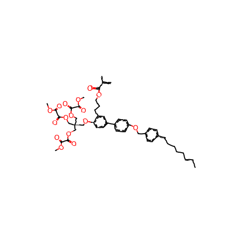 C=C(C)C(=O)OCCCc1cc(-c2ccc(OCc3ccc(CCCCCCCC)cc3)cc2)ccc1OCC(COC(=O)C(=O)OC)(COC(=O)C(=O)OC)COC(=O)C(=O)OC